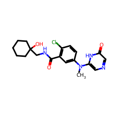 CN(c1ccc(Cl)c(C(=O)NCC2(O)CCCCC2)c1)c1cncc(=O)[nH]1